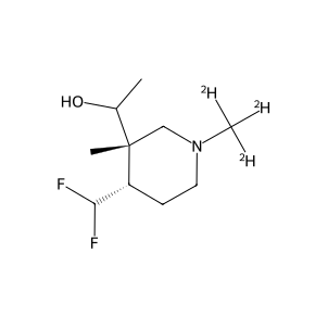 [2H]C([2H])([2H])N1CC[C@H](C(F)F)[C@](C)(C(C)O)C1